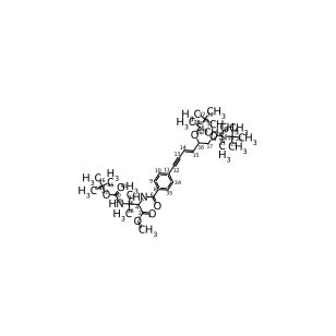 COC(=O)C(NC(=O)c1ccc(C#CC=CC(CO[Si](C)(C)C(C)(C)C)O[Si](C)(C)C(C)(C)C)cc1)C(C)(C)NC(=O)OC(C)(C)C